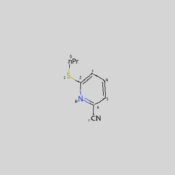 CCCSc1cccc(C#N)n1